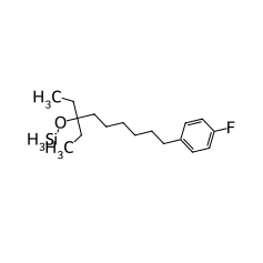 CCC(CC)(CCCCCCc1ccc(F)cc1)O[SiH3]